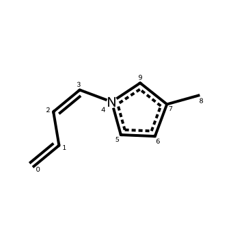 C=C/C=C\n1ccc(C)c1